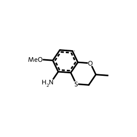 COc1c[c]c2c(c1N)SCC(C)O2